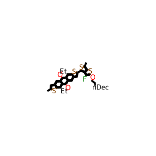 CCCCCCCCCCCCOc1sc2c(C)sc(-c3cc4cc5c(OCC)c6cc7sc(C)cc7cc6c(OCC)c5cc4s3)c2c1F